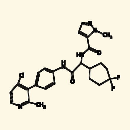 Cc1nccc(Cl)c1-c1ccc(NC(=O)C(NC(=O)c2ccnn2C)C2CCC(F)(F)CC2)cc1